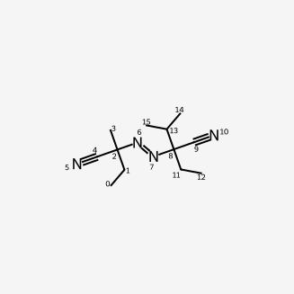 CCC(C)(C#N)/N=N/C(C#N)(CC)C(C)C